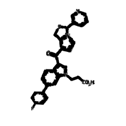 O=C(O)CCn1cc(C(=O)c2ccn3c2CSC3c2cccnc2)c2ccc(-c3ccc(F)cc3)cc21